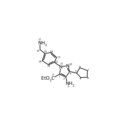 CCOC(=O)c1c(N)c(C2CCCC2)nn1-c1ccc(CN)cc1